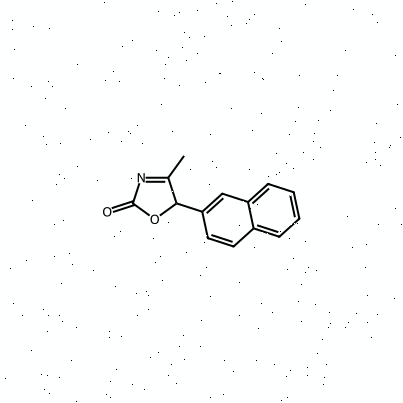 CC1=NC(=O)OC1c1ccc2ccccc2c1